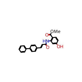 COC(=O)c1ccc(O)cc1NC(=O)/C=C/c1ccc(-c2ccccc2)cc1